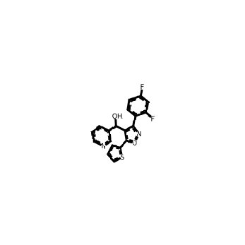 OC(c1cccnc1)c1c(-c2ccc(F)cc2F)noc1-c1cccs1